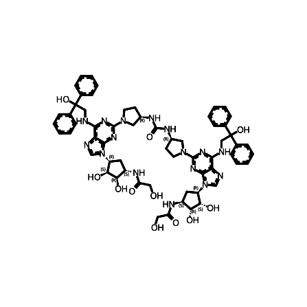 O=C(CO)N[C@H]1C[C@@H](n2cnc3c(NCC(O)(c4ccccc4)c4ccccc4)nc(N4CC[C@@H](NC(=O)N[C@@H]5CCN(c6nc(NCC(O)(c7ccccc7)c7ccccc7)c7ncn([C@@H]8C[C@H](NC(=O)CO)[C@@H](O)[C@H]8O)c7n6)C5)C4)nc32)[C@H](O)[C@@H]1O